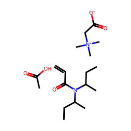 C=CC(=O)N(C(C)CC)C(C)CC.CC(=O)O.C[N+](C)(C)CC(=O)[O-]